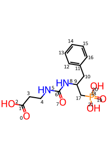 O=C(O)CCNC(=O)NC(Cc1ccccc1)CP(=O)(O)O